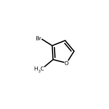 Cc1occc1Br